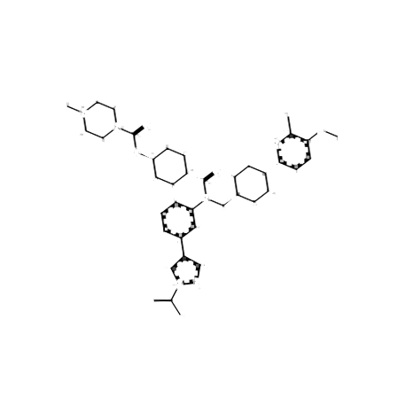 COc1ccc([C@H]2CC[C@H](CN(c3cccc(-c4cnn(C(C)C)c4)c3)C(=O)[C@H]3CC[C@H](OC(=O)N4CCN(C)CC4)CC3)CC2)nc1C